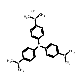 CN(C)c1ccc([S+](c2ccc(N(C)C)cc2)c2ccc(N(C)C)cc2)cc1.[Cl-]